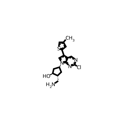 Cc1csc(-c2cn([C@@H]3C[C@H](CN)[C@@H](O)C3)c3nc(Cl)ncc23)c1